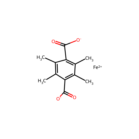 Cc1c(C)c(C(=O)[O-])c(C)c(C)c1C(=O)[O-].[Fe+2]